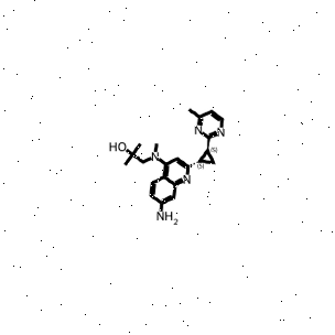 Cc1ccnc([C@H]2C[C@@H]2c2cc(N(C)CC(C)(C)O)c3ccc(N)cc3n2)n1